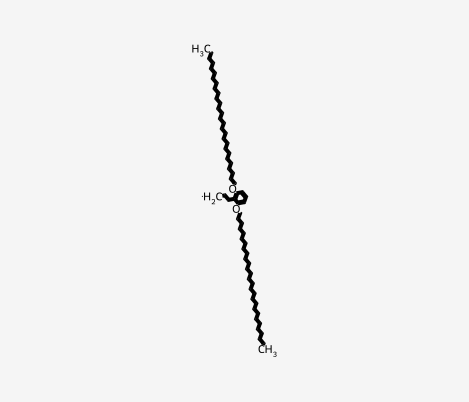 [CH2]CCc1c(OCCCCCCCCCCCCCCCCCCCCCCCCCCCC)cccc1OCCCCCCCCCCCCCCCCCCCCCCCCCCCC